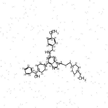 CCN1CCN(CCCn2cnc3c(N4CCN(C(O)c5ccccc5)CC4)nc(NCc4ccc(OC)cc4)nc32)CC1